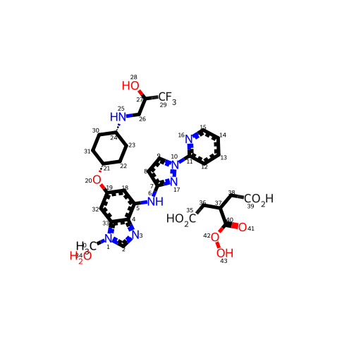 Cn1cnc2c(Nc3ccn(-c4ccccn4)n3)cc(O[C@H]3CC[C@@H](NCC(O)C(F)(F)F)CC3)cc21.O.O=C(O)CC(CC(=O)O)C(=O)OO